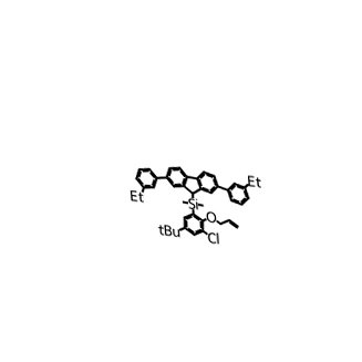 C=CCOc1c(Cl)cc(C(C)(C)C)cc1[Si](C)(C)C1c2cc(-c3cccc(CC)c3)ccc2-c2ccc(-c3cccc(CC)c3)cc21